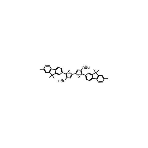 CCCCc1cc(-c2cc(CCCC)c(-c3ccc4c(c3)C(C)(C)c3cc(C)ccc3-4)s2)sc1-c1ccc2c(c1)C(C)(C)c1cc(C)ccc1-2